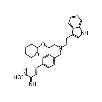 N=C(/C=C/c1ccc(CN(CCOC2CCCCO2)CCc2c[nH]c3ccccc23)cc1)NO